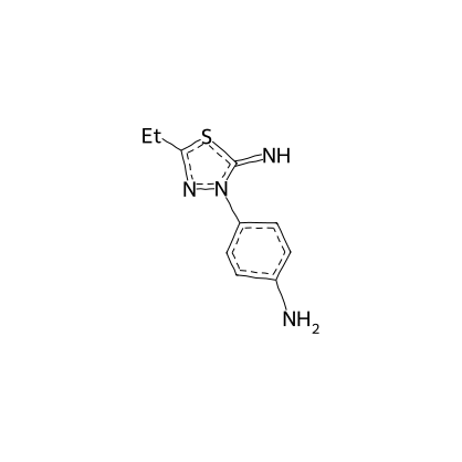 CCc1nn(-c2ccc(N)cc2)c(=N)s1